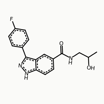 CC(O)CNC(=O)c1ccc2[nH]nc(-c3ccc(F)cc3)c2c1